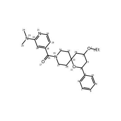 CCOC1CC(c2ccccc2)OC2(CCN(C(=O)c3ccnc(N(C)C)c3)CC2)C1